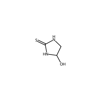 OC1CNC(=S)N1